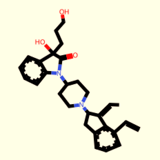 C=Cc1cccc2c1/C(=C\C)C(N1CCC(N3C(=O)C(O)(CCCO)c4ccccc43)CC1)C2